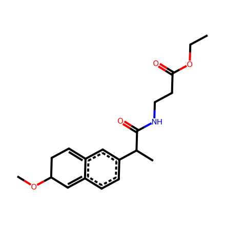 CCOC(=O)CCNC(=O)C(C)c1ccc2c(c1)=CCC(OC)C=2